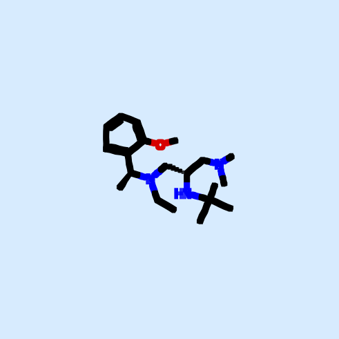 CCN(C[C@H](CN(C)C)NC(C)(C)C)[C@@H](C)c1ccccc1OC